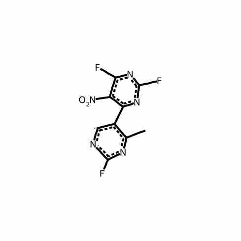 Cc1nc(F)n[c]c1-c1nc(F)nc(F)c1[N+](=O)[O-]